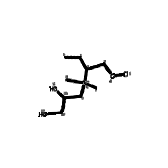 CCC(COCl)[N+](C)(C)CC(O)CO